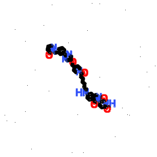 O=C1CCC(n2ncc3cc(NCCCCCCC(=O)N4CCC(COc5cnc(-c6cccc(Cn7ncccc7=O)c6)nc5)CC4)ccc3c2=O)C(=O)N1